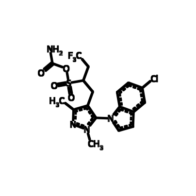 Cc1nn(C)c(-n2ccc3cc(Cl)ccc32)c1CC(CC(F)(F)F)S(=O)(=O)OC(N)=O